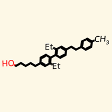 CCc1cc(CCCCCO)ccc1-c1ccc(CCc2ccc(C)cc2)cc1CC